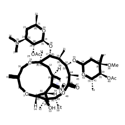 C=C1CO[C@@H]2[C@@H](C)/C(=N/OC(C)=O)[C@H](C)C[C@@](C)(OC1)[C@H](O[C@@H]1O[C@H](C)C[C@H](N(C)C)[C@H]1OC(C)=O)[C@@H](C)[C@H](OC1C[C@@](C)(OC)[C@@H](OC(C)=O)[C@H](C)O1)[C@@H](C)C(=O)O[C@H](CC)[C@@]2(C)O